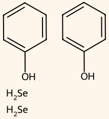 Oc1ccccc1.Oc1ccccc1.[SeH2].[SeH2]